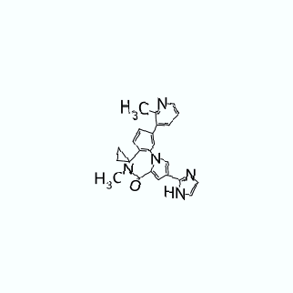 Cc1ncccc1-c1ccc2c(c1)-n1cc(-c3ncc[nH]3)cc1C(=O)N(C)C21CC1